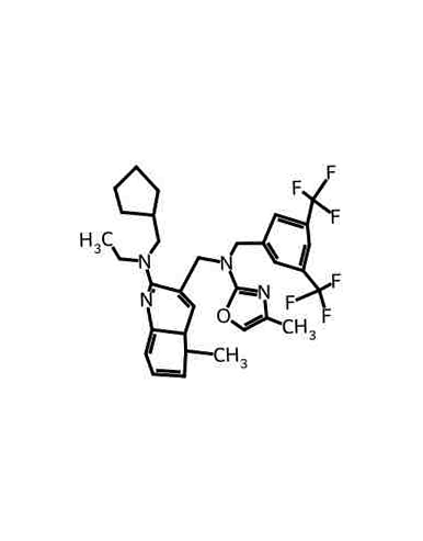 CCN(CC1CCCC1)C1=NC2=CC=CC(C)C2C=C1CN(Cc1cc(C(F)(F)F)cc(C(F)(F)F)c1)c1nc(C)co1